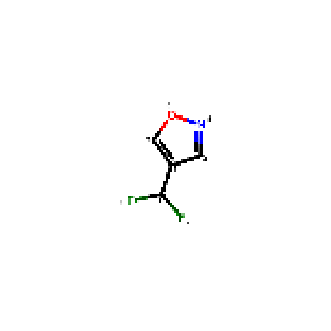 FC(F)c1[c]no[c]1